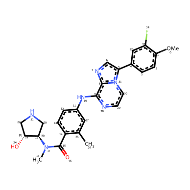 COc1ccc(-c2cnc3c(Nc4ccc(C(=O)N(C)[C@@H]5CNC[C@H]5O)c(C)c4)nccn23)cc1F